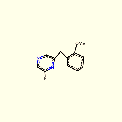 CCc1cncc(Cc2ccccc2OC)n1